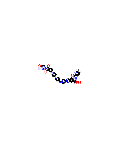 CC(C)(O)c1cc2nn(C3CCN(CC4CCN(C5CCN(c6ccc7c(c6)C(=O)N(N6CCC(=O)NC6=O)C7=O)CC5)CC4)CC3)cc2cc1NC(=O)c1cccc(C(F)(F)F)n1